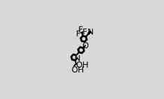 N#Cc1cc(Oc2ccc(-c3cccc([C@H](O)CO)n3)cc2)ccc1C(F)(F)F